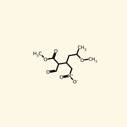 COC(=O)C(C=O)C(CC(C)OC)C[N+](=O)[O-]